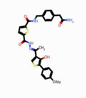 COc1ccc(-c2scc(/C(C)=N/NC(=O)c3ccc(C(=O)NCc4ccc(CC(N)=O)cc4)s3)c2O)cc1